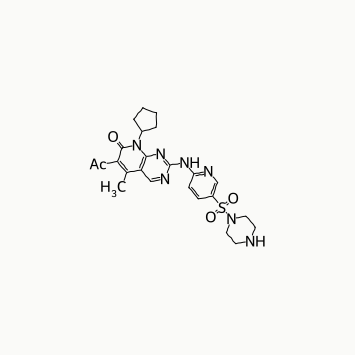 CC(=O)c1c(C)c2cnc(Nc3ccc(S(=O)(=O)N4CCNCC4)cn3)nc2n(C2CCCC2)c1=O